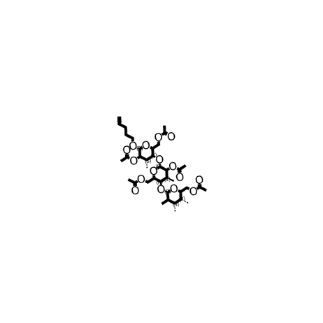 C=CCCCO[C@@H]1OC(COC(C)=O)[C@@H](O[C@@H]2OC(COC(C)=O)[C@H](O[C@H]3OC(COC(C)=O)[C@H](C)[C@H](C)C3C)[C@H](C)C2OC(C)=O)[C@H](C)C1OC(C)=O